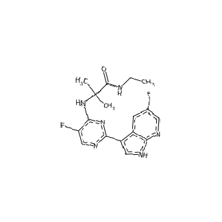 CCNC(=O)C(C)(C)Nc1nc(-c2c[nH]c3ncc(F)cc23)ncc1F